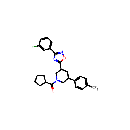 O=C(C1CCCC1)N1CC(c2ccc(C(F)(F)F)cc2)CC(c2nc(-c3cccc(F)c3)no2)C1